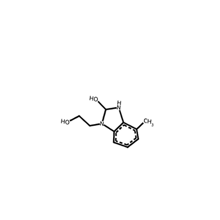 Cc1cccc2c1NC(O)N2CCO